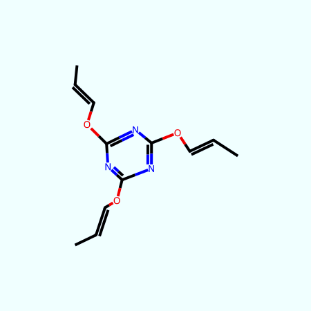 CC=COc1nc(OC=CC)nc(OC=CC)n1